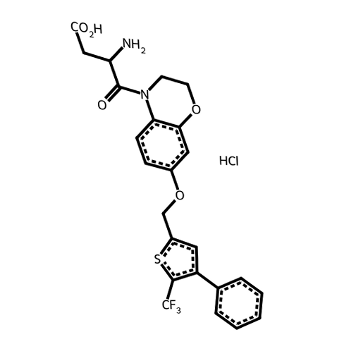 Cl.NC(CC(=O)O)C(=O)N1CCOc2cc(OCc3cc(-c4ccccc4)c(C(F)(F)F)s3)ccc21